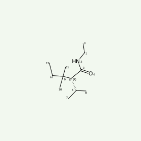 CCNC(=O)[C@H](C(C)C)C(C)(C)CC